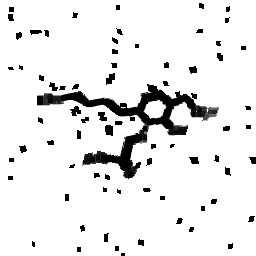 CCCCCCCCCCCCCC=C1CCC(CC(=O)O)C(O)[C@@H]1SCC(=O)OC